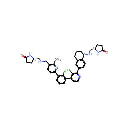 COc1nc(-c2cccc(-c3ccnc(-c4ccc5c(c4)CCC[C@H]5NC[C@@H]4CCC(=O)N4)c3Cl)c2Cl)ccc1CNC[C@@H]1CCC(=O)N1